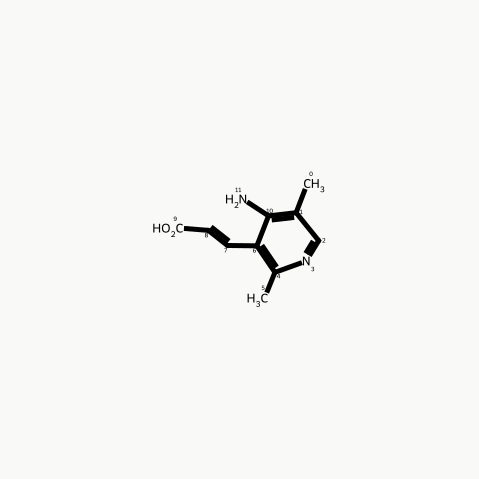 Cc1cnc(C)c(C=CC(=O)O)c1N